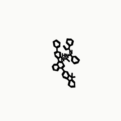 C=CC(/N=C(\NC(C)n1c2cc(-c3ccccc3)ccc2c2c3ccccc3c(-c3ccc4c(c3)C(C)(C)c3ccccc3-4)cc21)c1ccccc1)c1ccccc1